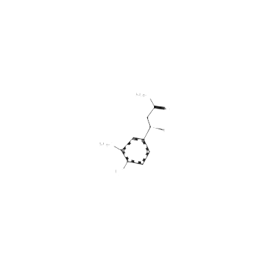 CC[C@H](CC(=O)OC)c1ccc(C)c(OC)c1